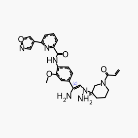 C=CC(=O)N1CCC[C@@H](N(N)/C=C(\N)c2ccc(NC(=O)c3cccc(-c4cnoc4)n3)c(OC)c2)C1